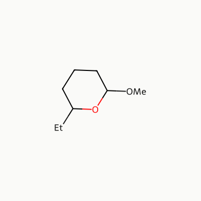 CCC1CCCC(OC)O1